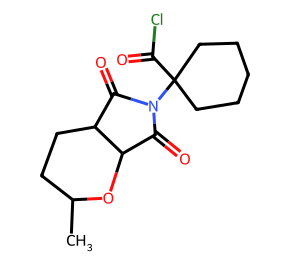 CC1CCC2C(=O)N(C3(C(=O)Cl)CCCCC3)C(=O)C2O1